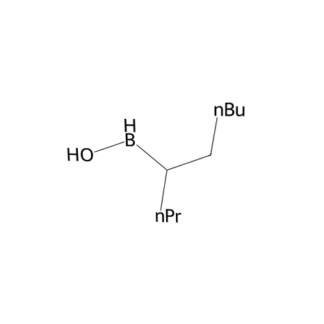 CCCCCC(BO)CCC